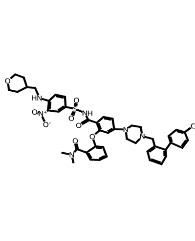 CN(C)C(=O)c1ccccc1Oc1cc(N2CCN(Cc3ccccc3-c3ccc(Cl)cc3)CC2)ccc1C(=O)NS(=O)(=O)c1ccc(NCC2CCOCC2)c([N+](=O)[O-])c1